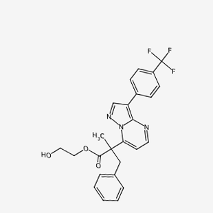 CC(Cc1ccccc1)(C(=O)OCCO)c1ccnc2c(-c3ccc(C(F)(F)F)cc3)cnn12